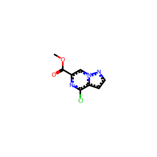 COC(=O)c1cn2nccc2c(Cl)n1